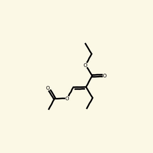 CCOC(=O)C(=COC(C)=O)CC